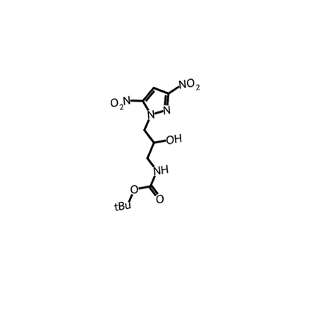 CC(C)(C)OC(=O)NCC(O)Cn1nc([N+](=O)[O-])cc1[N+](=O)[O-]